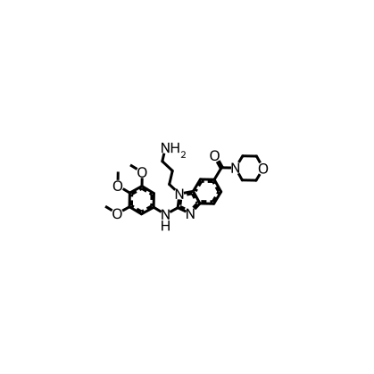 COc1cc(Nc2nc3ccc(C(=O)N4CCOCC4)cc3n2CCCN)cc(OC)c1OC